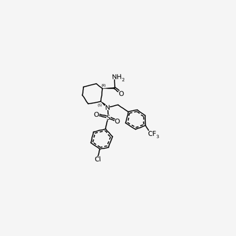 NC(=O)[C@@H]1CCCC[C@@H]1N(Cc1ccc(C(F)(F)F)cc1)S(=O)(=O)c1ccc(Cl)cc1